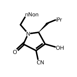 CCCCCCCCCCN1C(=O)C(C#N)=C(O)[C@@H]1CC(C)C